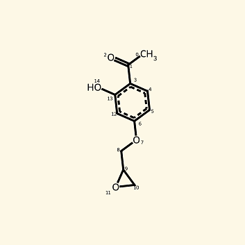 CC(=O)c1ccc(OCC2CO2)cc1O